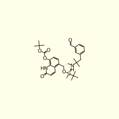 CC(C)(Cc1cccc(C=O)c1)NC[C@H](O[Si](C)(C)C(C)(C)C)c1ccc(OC(=O)OC(C)(C)C)c2[nH]c(=O)ccc12